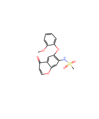 COc1ccccc1Oc1cc2c(=O)ccoc2cc1NS(C)(=O)=O